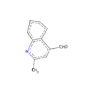 Cc1cc(C=O)c2ccccc2n1